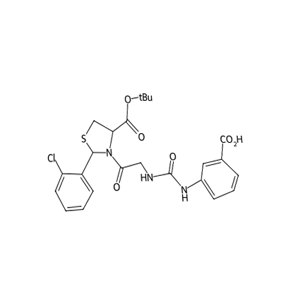 CC(C)(C)OC(=O)C1CSC(c2ccccc2Cl)N1C(=O)CNC(=O)Nc1cccc(C(=O)O)c1